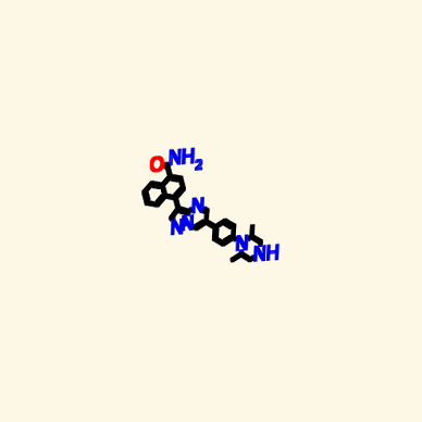 CC1CNCC(C)N1c1ccc(-c2cnc3c(-c4ccc(C(N)=O)c5ccccc45)cnn3c2)cc1